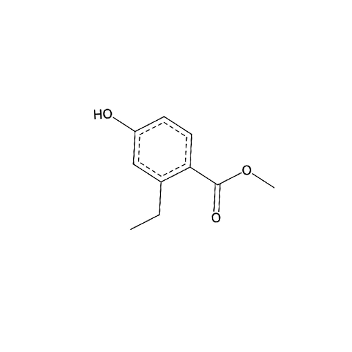 CCc1cc(O)ccc1C(=O)OC